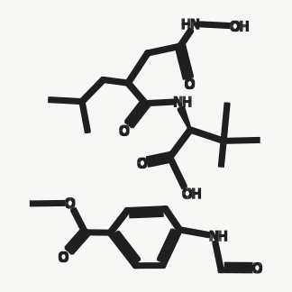 CC(C)CC(CC(=O)NO)C(=O)N[C@H](C(=O)O)C(C)(C)C.COC(=O)c1ccc(NC=O)cc1